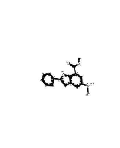 COC(=O)c1cc([N+](=O)[O-])cc2cc(-c3ccccc3)oc12